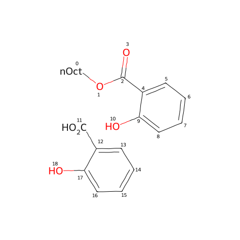 CCCCCCCCOC(=O)c1ccccc1O.O=C(O)c1ccccc1O